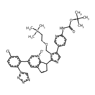 CC(C)(C)OC(=O)Nc1ccc(-c2cnc(C3CCc4cc(-c5cc(Cl)ccc5-n5cnnn5)c[n+]([O-])c43)n2COCC[Si](C)(C)C)cn1